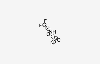 O=C1OC2(CCC(C(=O)NC3CCN(c4cc(F)cc(F)c4)CC3)CC2)c2cnccc21